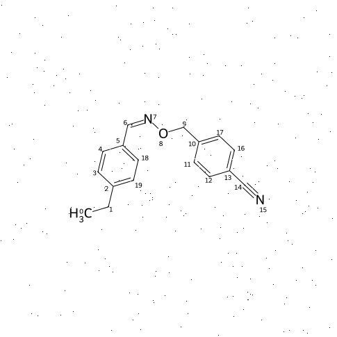 CCc1ccc(/[C]=N\OCc2ccc(C#N)cc2)cc1